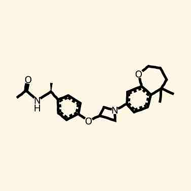 CC(=O)N[C@@H](C)c1ccc(OC2CN(c3ccc4c(c3)OCCCC4(C)C)C2)cc1